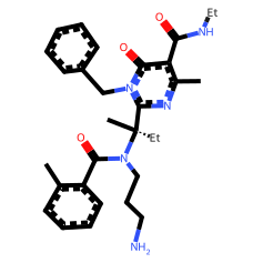 CCNC(=O)c1c(C)nc([C@@](C)(CC)N(CCCN)C(=O)c2ccccc2C)n(Cc2ccccc2)c1=O